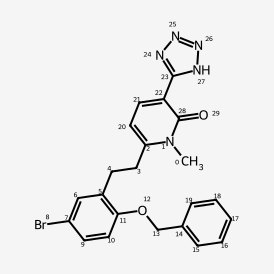 Cn1c(CCc2cc(Br)ccc2OCc2ccccc2)ccc(-c2nnn[nH]2)c1=O